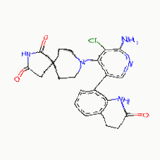 Nc1ncc(-c2cccc3c2NC(=O)CC3)c(N2CCC3(CC2)CC(=O)NC3=O)c1Cl